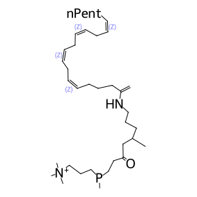 C=C(CCC/C=C\C/C=C\C/C=C\C/C=C\CCCCC)NCCCC(C)CC(=O)CCP(C)CCC[N+](C)(C)C